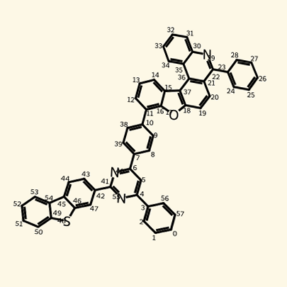 c1ccc(-c2cc(-c3ccc(-c4cccc5c4oc4ccc6c(-c7ccccc7)nc7ccccc7c6c45)cc3)nc(-c3ccc4c(c3)sc3ccccc34)n2)cc1